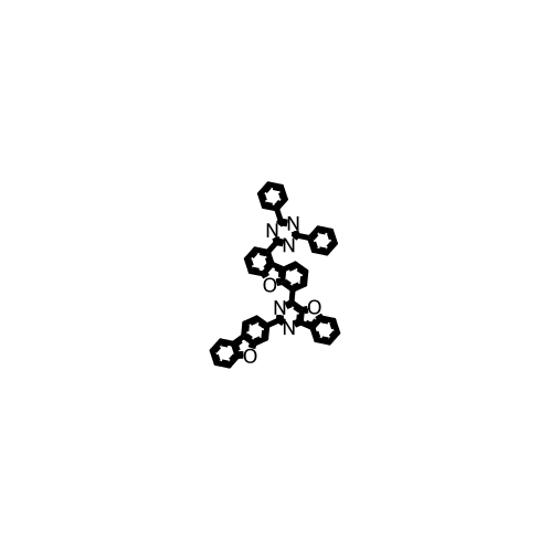 c1ccc(-c2nc(-c3ccccc3)nc(-c3cccc4oc5c(-c6nc(-c7ccc8c(c7)oc7ccccc78)nc7c6oc6ccccc67)cccc5c34)n2)cc1